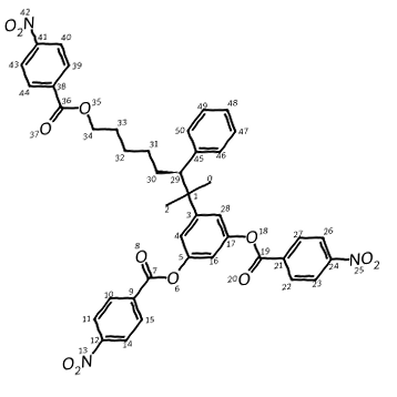 CC(C)(c1cc(OC(=O)c2ccc([N+](=O)[O-])cc2)cc(OC(=O)c2ccc([N+](=O)[O-])cc2)c1)[C@@H](CCCCCOC(=O)c1ccc([N+](=O)[O-])cc1)c1ccccc1